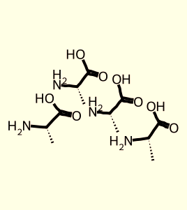 C[C@H](N)C(=O)O.C[C@H](N)C(=O)O.C[C@H](N)C(=O)O.C[C@H](N)C(=O)O